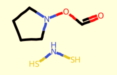 O=CON1CCCC1.SNS